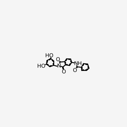 O=C(Nc1ccc2c(c1)C(=O)N(Cc1cc(O)cc(O)c1)C2=O)c1ccccc1